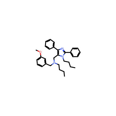 CCCCN(Cc1cccc(OC)c1)Cc1c(-c2ccccc2)nc(-c2ccccc2)n1CCCC